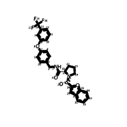 O=C(NCc1ccc(Oc2cccc(C(F)(F)F)c2)cc1)[C@@H]1CCCN1[S+]([O-])c1cc2ccccc2o1